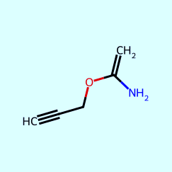 C#CCOC(=C)N